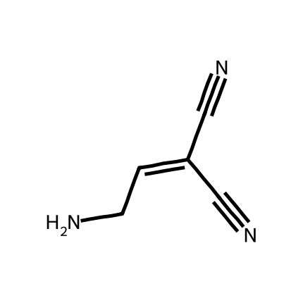 N#CC(C#N)=CCN